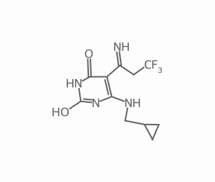 N=C(CC(F)(F)F)c1c(NCC2CC2)nc(O)[nH]c1=O